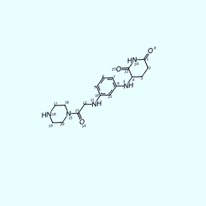 O=C1CCC(Nc2cccc(NCC(=O)N3CCNCC3)c2)C(=O)N1